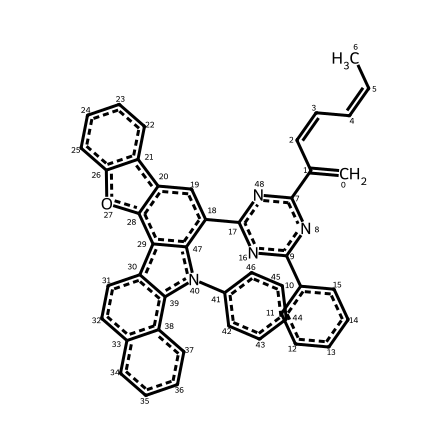 C=C(/C=C\C=C/C)c1nc(-c2ccccc2)nc(-c2cc3c4ccccc4oc3c3c4ccc5ccccc5c4n(-c4ccccc4)c23)n1